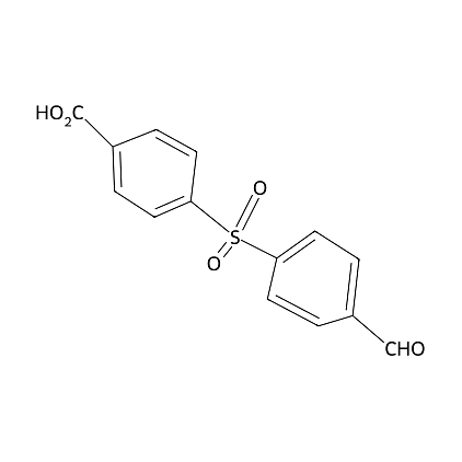 O=Cc1ccc(S(=O)(=O)c2ccc(C(=O)O)cc2)cc1